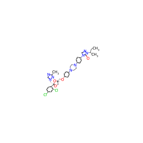 CCC(C)n1ncn(-c2ccc(N3CCN(c4ccc(OC[C@@H]5CO[C@@](Cn6cnc(C)n6)(c6ccc(Cl)cc6Cl)O5)cc4)CC3)cc2)c1=O